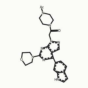 CC(=O)N1CCN(C(=O)Cn2ncc3c(-c4ccc5cc[nH]c5c4)nc(N4CCOCC4)nc32)CC1